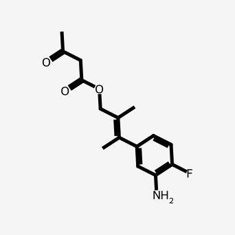 CC(=O)CC(=O)OC/C(C)=C(\C)c1ccc(F)c(N)c1